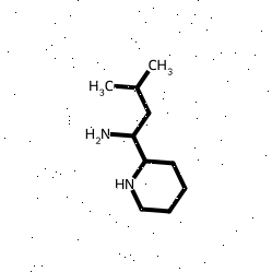 CC(C)CC(N)C1CCCCN1